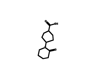 O=C(O)C1CCC(N2CCCCC2=O)CC1